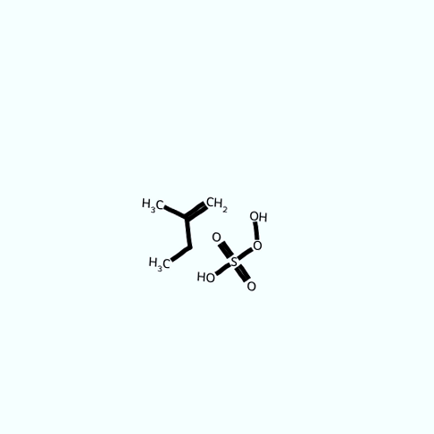 C=C(C)CC.O=S(=O)(O)OO